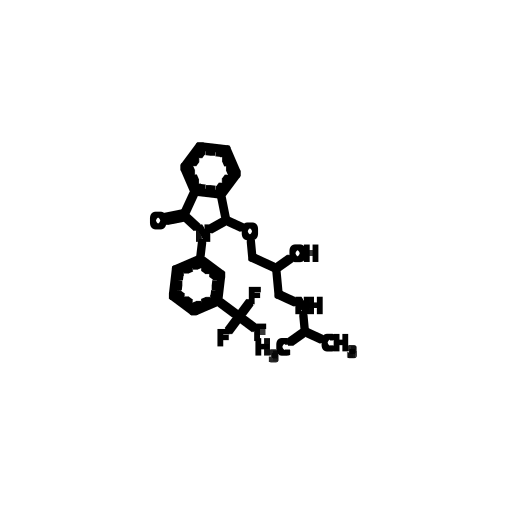 CC(C)NCC(O)COC1c2ccccc2C(=O)N1c1cccc(C(F)(F)F)c1